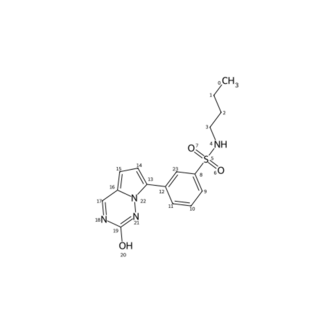 CCCCNS(=O)(=O)c1cccc(-c2ccc3cnc(O)nn23)c1